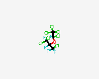 FC(F)(Cl)C(F)(OC(F)(Cl)C(Cl)(Cl)Cl)C(F)(Cl)Cl